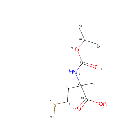 CSCCC(C)(NC(=O)OC(C)C)C(=O)O